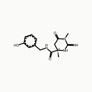 CN1C(=N)N[C@](C)(C(=O)NCc2cccc(O)c2)CC1=O